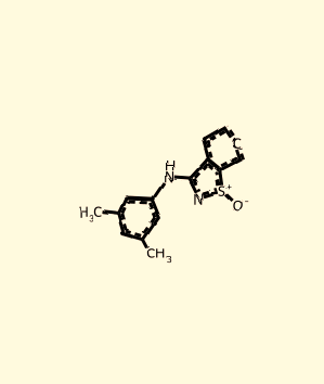 Cc1cc(C)cc(Nc2n[s+]([O-])c3ccccc23)c1